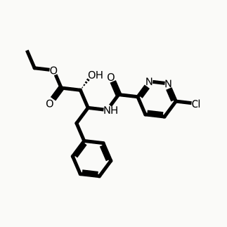 CCOC(=O)[C@H](O)C(Cc1ccccc1)NC(=O)c1ccc(Cl)nn1